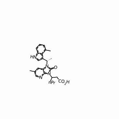 CCCC(CC(=O)O)n1c(=O)n([C@@H](C)c2c[nH]c3cccc(C)c23)c2cc(C)cnc21